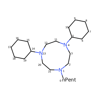 CCCCCN1CCN(C2CCCCC2)CCN(C2CCCCC2)CC1